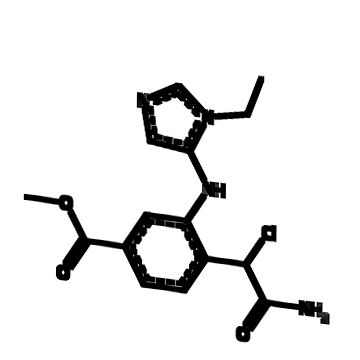 CCn1cncc1Nc1cc(C(=O)OC)ccc1C(Cl)C(N)=O